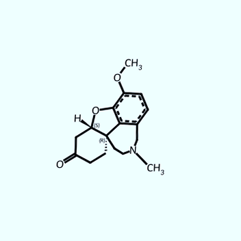 COc1ccc2c3c1O[C@H]1CC(=O)CC[C@@]31CCN(C)C2